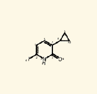 O=c1[nH]c(I)ccc1C1CC1